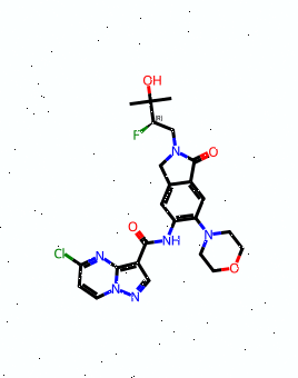 CC(C)(O)[C@H](F)CN1Cc2cc(NC(=O)c3cnn4ccc(Cl)nc34)c(N3CCOCC3)cc2C1=O